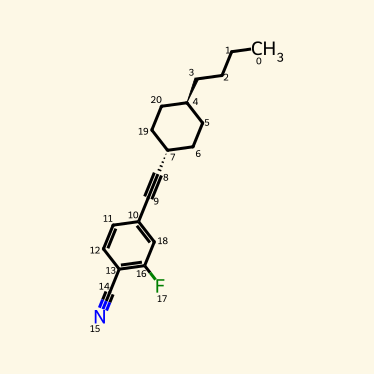 CCCC[C@H]1CC[C@H](C#Cc2ccc(C#N)c(F)c2)CC1